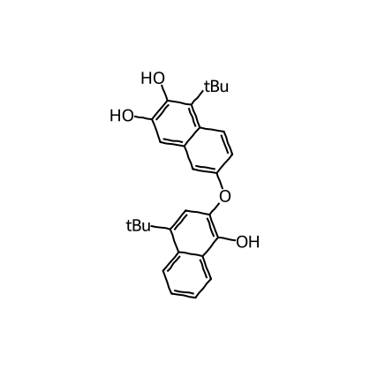 CC(C)(C)c1c(O)c(O)cc2cc(Oc3cc(C(C)(C)C)c4ccccc4c3O)ccc12